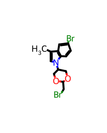 Cc1cn(C2COC(CBr)OC2)c2ccc(Br)cc12